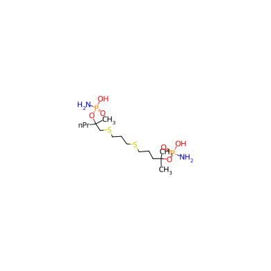 CCCC(C)(CSCCCSCCCC(C)(C)OP(N)(=O)O)OP(N)(=O)O